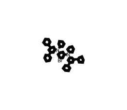 Brc1cc(N(c2ccccc2)c2cc(-c3ccccc3)cc(-c3ccccc3)c2)cc(N(c2ccccc2)c2cc(-c3ccccc3)cc(-c3ccccc3)c2)c1